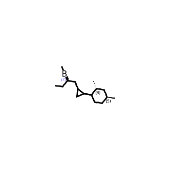 C/B=C(/CC)CC1CC1C1CC[C@H](C)C[C@H]1C